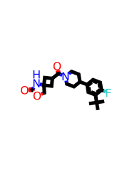 CC(C)(C)c1cc(C2CCN(C(=O)C3CC4(COC(=O)N4)C3)CC2)ccc1F